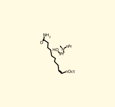 CC(C)O.CCCCCCCC/C=C\CCCCCCCC(N)=O.CCCN(C)C